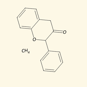 C.O=C1Cc2ccccc2OC1c1ccccc1